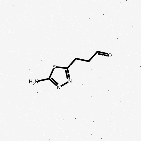 Nc1nnc(CCC=O)s1